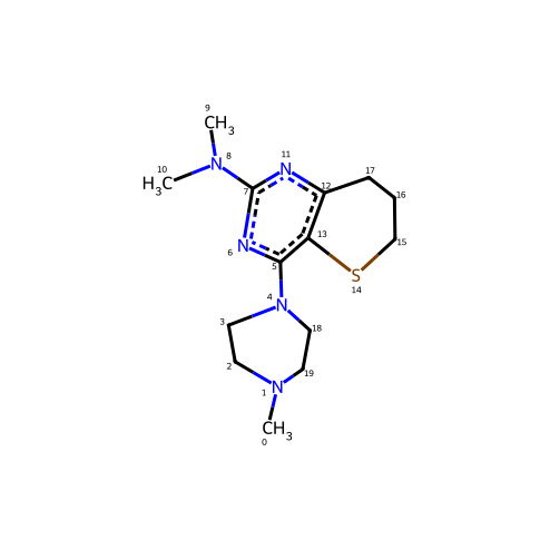 CN1CCN(c2nc(N(C)C)nc3c2SCCC3)CC1